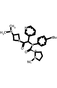 CN(C)C1CN(C(=O)C(c2cccnc2)N(C(=O)[C@H]2CCCN2C#N)c2ccc(C(C)(C)C)cc2)C1